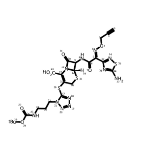 C#CCON=C(C(=O)NC1C(=O)N2C(C(=O)O)=C(Sc3nnnn3CCCNC(=O)OC(C)(C)C)CS[C@@H]12)c1nsc(N)n1